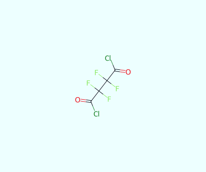 O=C(Cl)C(F)(F)C(F)(F)C(=O)Cl